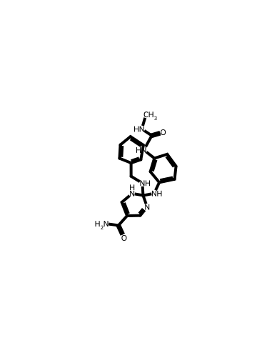 CNC(=O)Nc1cccc(NC2(NCc3ccccc3)N=CC(C(N)=O)=CN2)c1